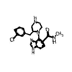 CNC(=O)c1ccc2[nH]cnc2c1N1CCNCC1Cc1cccc(Cl)c1